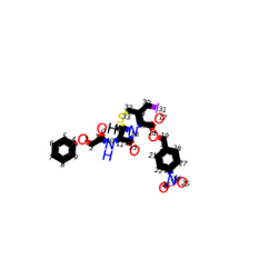 O=C(COc1ccccc1)NC1C(=O)N2C(C(=O)OCc3ccc([N+](=O)[O-])cc3)=C(CI)CS[C@H]12